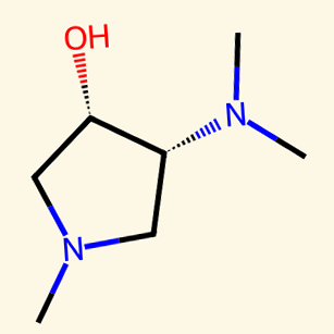 CN1C[C@@H](N(C)C)[C@@H](O)C1